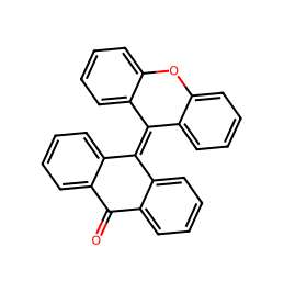 O=C1c2ccccc2C(=C2c3ccccc3Oc3ccccc32)c2ccccc21